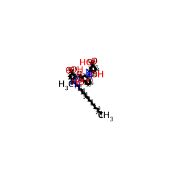 CCCCCCCCCCCCCCCCCCN(C)c1ccc(C(=O)O)cc1NC(=O)c1cc(/N=N/c2cc(C(=O)O)ccc2O)c2ccccc2c1O